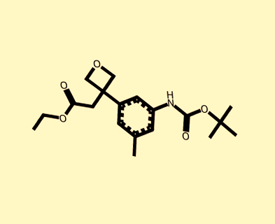 CCOC(=O)CC1(c2cc(C)cc(NC(=O)OC(C)(C)C)c2)COC1